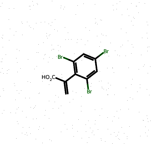 C=C(C(=O)O)c1c(Br)cc(Br)cc1Br